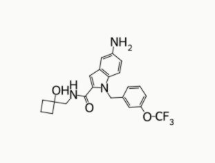 Nc1ccc2c(c1)cc(C(=O)NCC1(O)CCC1)n2Cc1cccc(OC(F)(F)F)c1